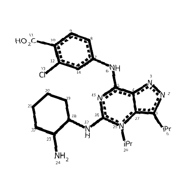 CC(C)c1nnc2c(Nc3ccc(C(=O)O)c(Cl)c3)nc(NC3CCCCC3N)n(C(C)C)c1-2